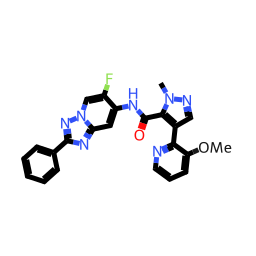 COc1cccnc1-c1cnn(C)c1C(=O)Nc1cc2nc(-c3ccccc3)nn2cc1F